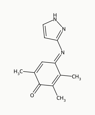 CC1=CC(=Nc2cc[nH]n2)C(C)=C(C)C1=O